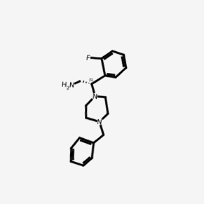 NC[C@H](c1ccccc1F)N1CCN(Cc2ccccc2)CC1